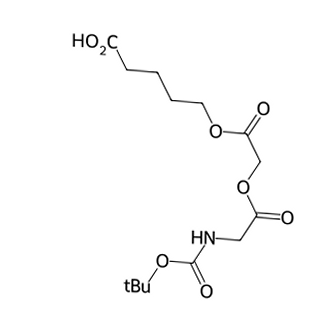 CC(C)(C)OC(=O)NCC(=O)OCC(=O)OCCCCC(=O)O